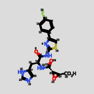 O=C(Nc1nc(-c2ccc(F)cc2)cs1)[C@H](Cc1cnc[nH]1)NC(=O)[C@H]1O[C@@H]1C(=O)O